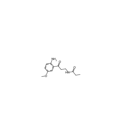 CCC(=O)NCCC(=O)c1cc(OC)ccc1N